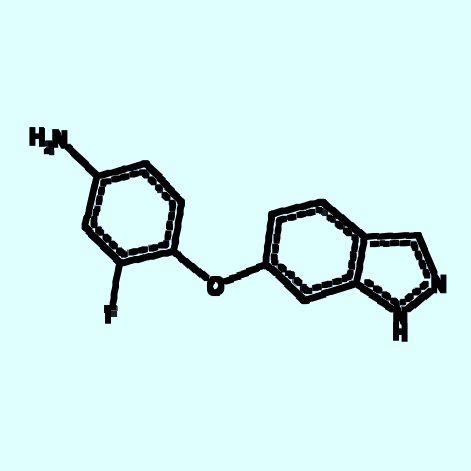 Nc1ccc(Oc2ccc3cn[nH]c3c2)c(F)c1